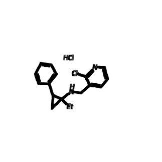 CCC1(NCc2cccnc2Cl)CC1c1ccccc1.Cl